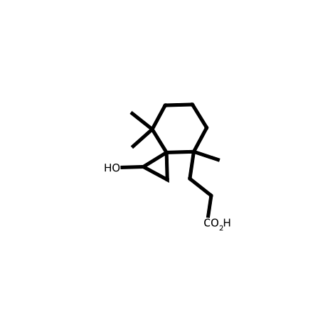 CC1(C)CCCC(C)(CCC(=O)O)C12CC2O